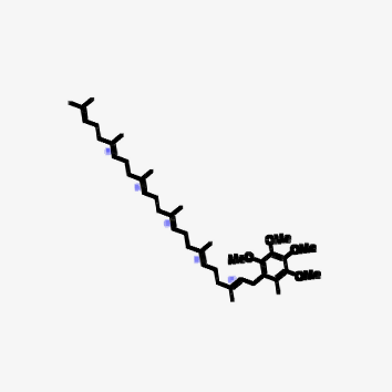 COc1c(C)c(C/C=C(\C)CC/C=C(\C)CC/C=C(\C)CC/C=C(\C)CC/C=C(\C)CCC=C(C)C)c(OC)c(OC)c1OC